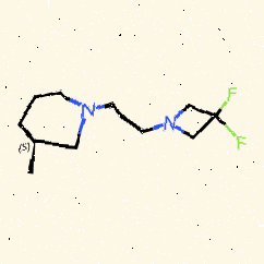 C[C@H]1CCCN(CCN2CC(F)(F)C2)C1